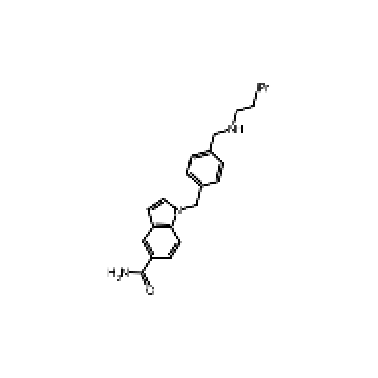 CC(C)CCNCc1ccc(Cn2ccc3cc(C(N)=O)ccc32)cc1